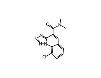 CN(C)C(=O)c1cc2cccc(Cl)c2n2nnnc12